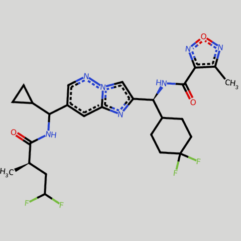 Cc1nonc1C(=O)N[C@H](c1cn2ncc(C(NC(=O)[C@H](C)CC(F)F)C3CC3)cc2n1)C1CCC(F)(F)CC1